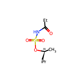 CCC(=O)NS(=O)(=O)O[C@@H](C)C(C)C